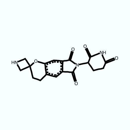 O=C1CCC(N2C(=O)c3cc4c(cc3C2=O)OC2(CC4)CNC2)C(=O)N1